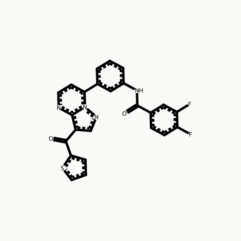 O=C(Nc1cccc(-c2ccnc3c(C(=O)c4cccs4)cnn23)c1)c1ccc(F)c(F)c1